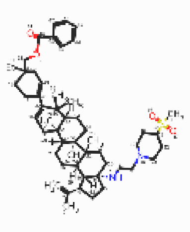 C=C(C)[C@@H]1CC[C@]2(NCCN3CCC(S(C)(=O)=O)CC3)CC[C@]3(C)[C@H](CC[C@@H]4[C@@]5(C)CC=C(C6=CCC(CC)(COC(=O)c7ccccc7)CC6)C(C)(C)[C@@H]5CC[C@]43C)[C@@H]12